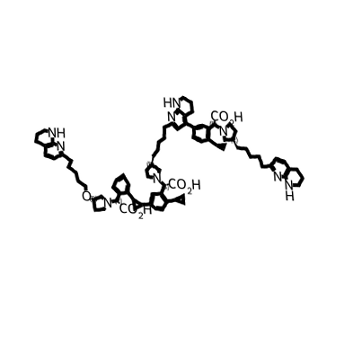 O=C(O)[C@H](c1cc(C2CC2c2ccccc2[C@H](C(=O)O)N2CC[C@@H](OCCCCCc3ccc4c(n3)NCCC4)C2)ccc1C1CC1)N1CC[C@@H](CCCCCc2cc(-c3ccc(C4CC4)c([C@H](C(=O)O)N4CC[C@@H](CCCCCc5ccc6c(n5)NCCC6)C4)c3)c3c(n2)NCCC3)C1